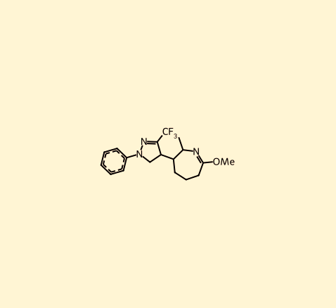 COC1=NC(C)C(C2CN(c3ccccc3)N=C2C(F)(F)F)CCC1